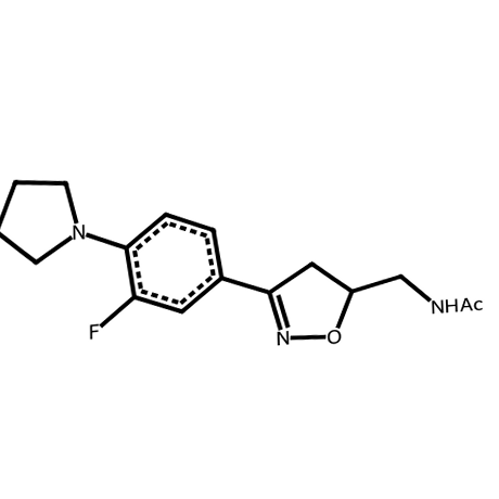 CC(=O)NCC1CC(c2ccc(N3CCCC3)c(F)c2)=NO1